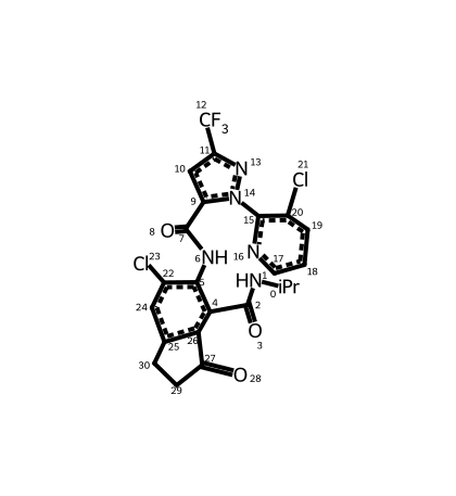 CC(C)NC(=O)c1c(NC(=O)c2cc(C(F)(F)F)nn2-c2ncccc2Cl)c(Cl)cc2c1C(=O)CC2